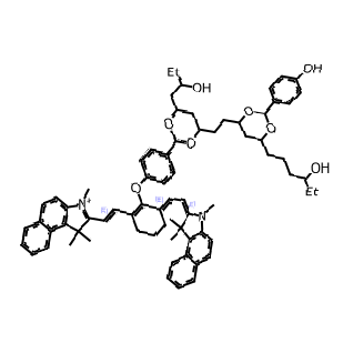 CCC(O)CCCC1CC(CCC2CC(CC(O)CC)OC(c3ccc(OC4=C(/C=C/C5=[N+](C)c6ccc7ccccc7c6C5(C)C)CCC/C4=C\C=C4\N(C)c5ccc6ccccc6c5C4(C)C)cc3)O2)OC(c2ccc(O)cc2)O1